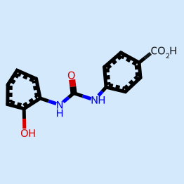 O=C(Nc1ccc(C(=O)O)cc1)Nc1ccccc1O